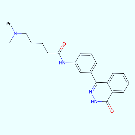 CC(C)N(C)CCCCC(=O)Nc1cccc(-c2n[nH]c(=O)c3ccccc23)c1